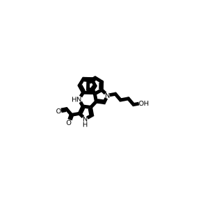 O=CC(=O)c1[nH]cc(-c2cn(CCCCO)c3ccccc23)c1Nc1ccccc1